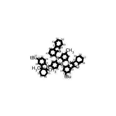 Cc1cc2c3c(c1)-n1c4c(c5cc(C(C)(C)C)cc(c51)B3c1ccc(N3c5ccc(C(C)(C)C)cc5C5(C)CCCCC35C)cc1N2c1cccc2c1sc1ccccc12)OC1=CC=CCC14